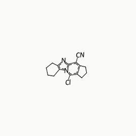 N#Cc1c2c(c(Cl)n3c4c(nc13)CCCC4)CCC2